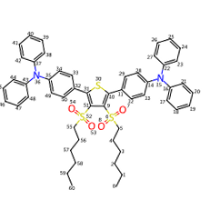 CCCCCCS(=O)(=O)c1c(-c2ccc(N(c3ccccc3)c3ccccc3)cc2)sc(-c2ccc(N(c3ccccc3)c3ccccc3)cc2)c1S(=O)(=O)CCCCCC